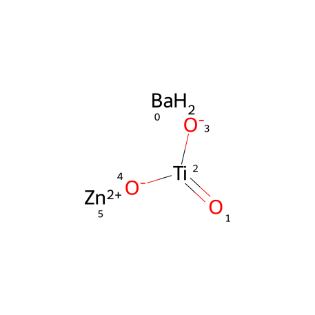 [BaH2].[O]=[Ti]([O-])[O-].[Zn+2]